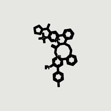 C=C1C[n+]2cc(C(C)C)c(-c3ccc(C)cc3)cc2-c2ccccc2CCC2c3ccccc3-c3cc(C(C)C4CCCC4)c([Si](C)(C)C)c[n+]3C12